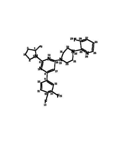 CC1CCCN1c1nc(-c2ccc(F)c(F)c2)cc(N2CCN(c3ncccc3F)CC2)n1